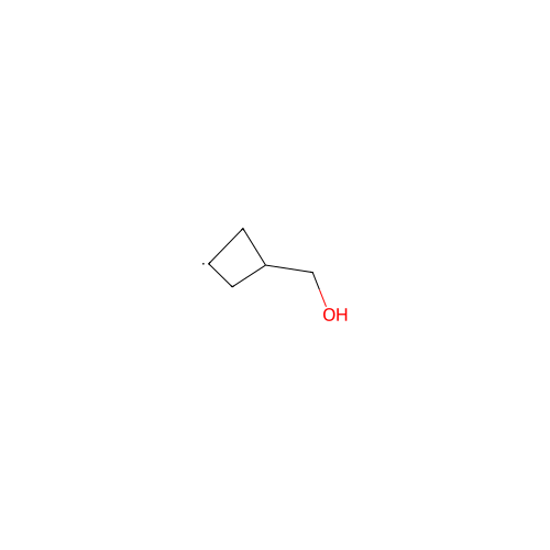 OCC1C[CH]C1